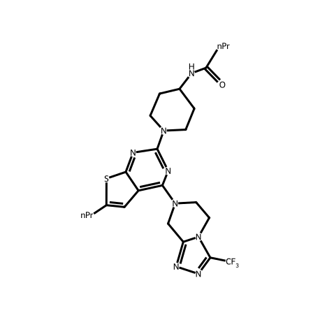 CCCC(=O)NC1CCN(c2nc(N3CCn4c(nnc4C(F)(F)F)C3)c3cc(CCC)sc3n2)CC1